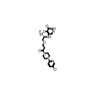 CC[C@@H](COCCC(=O)N1CCN(c2ccc(Cl)cn2)CC1)Nc1cn[nH]c(=O)c1C(F)(F)F